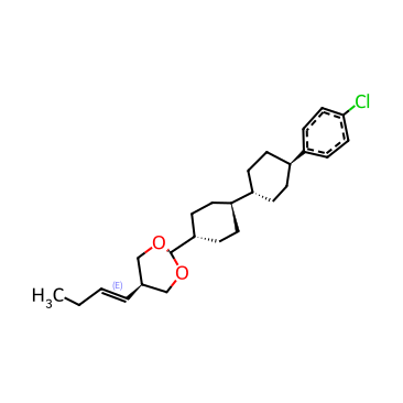 CC/C=C/[C@H]1CO[C@H]([C@H]2CC[C@H]([C@H]3CC[C@H](c4ccc(Cl)cc4)CC3)CC2)OC1